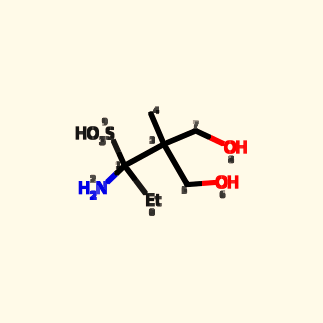 CCC(N)(C(C)(CO)CO)S(=O)(=O)O